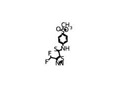 CS(=O)(=O)c1ccc(NC(=S)c2snnc2C(F)F)cc1